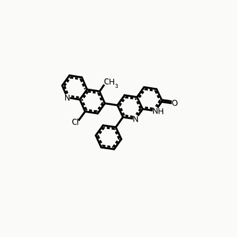 Cc1c(-c2cc3ccc(=O)[nH]c3nc2-c2ccccc2)cc(Cl)c2ncccc12